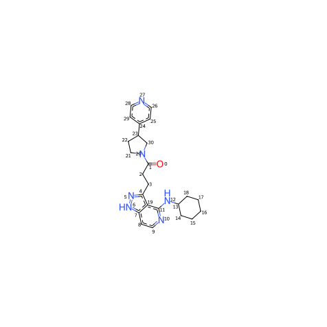 O=C(CCc1n[nH]c2ccnc(NC3CCCCC3)c12)N1CCC(c2ccncc2)C1